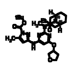 CCC(=O)N1[C@@H]2CCC[C@H]1CC(N(C)c1nc(Nc3cc(C)n(C(=O)OC(C)(C)C)n3)cc(OC3CCOC3)n1)C2